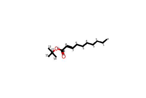 CCCCCCCC=CC(=O)OC(C)(C)C